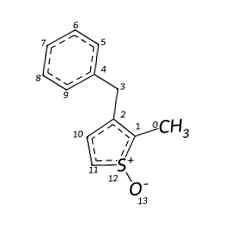 Cc1c(Cc2ccccc2)cc[s+]1[O-]